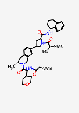 CNCC(=O)NC(C(=O)N1Cc2cc(C3C[C@@H](C(=O)N[C@@H]4CCCc5ccccc54)N(C(=O)[C@@H](NC)C(C)(C)C)C3)ccc2C[C@H]1C)C1CCOCC1